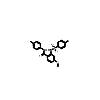 COc1ccc(C(=O)Nc2ccc(C)cc2)c(NS(=O)(=O)c2ccc(C)cc2)c1